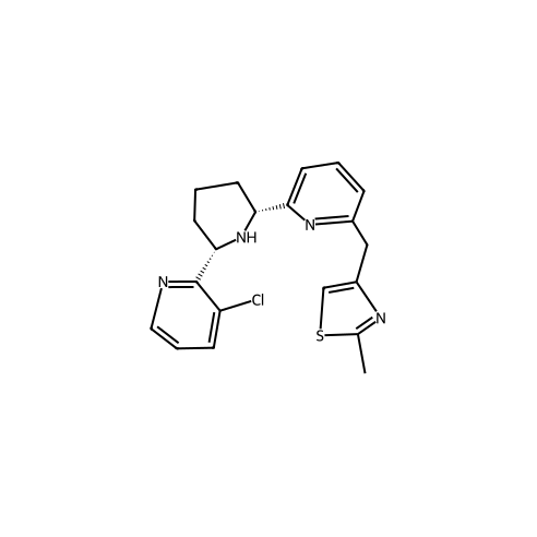 Cc1nc(Cc2cccc([C@H]3CCC[C@@H](c4ncccc4Cl)N3)n2)cs1